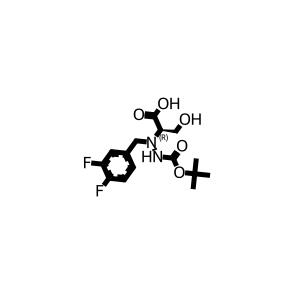 CC(C)(C)OC(=O)NN(Cc1ccc(F)c(F)c1)[C@H](CO)C(=O)O